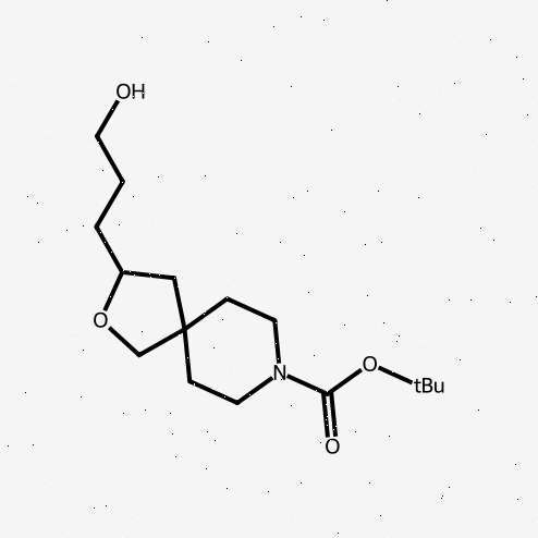 CC(C)(C)OC(=O)N1CCC2(CC1)COC(CCCO)C2